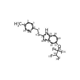 Cc1ccc(CSc2nc3cc(OC(F)(F)C(F)F)ccc3[nH]2)nc1